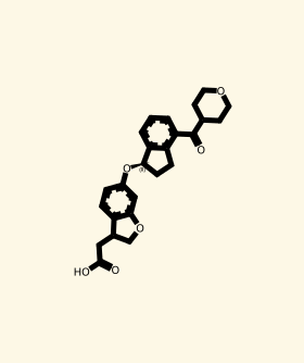 O=C(O)CC1COc2cc(O[C@@H]3CCc4c(C(=O)C5CCOCC5)cccc43)ccc21